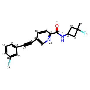 CC1(F)CC(NC(=O)c2ccc(C#Cc3cccc(F)c3)cn2)C1